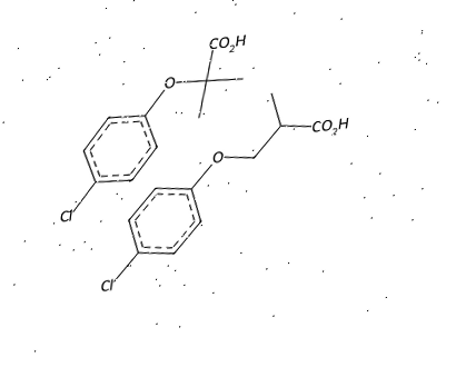 CC(C)(Oc1ccc(Cl)cc1)C(=O)O.CC(COc1ccc(Cl)cc1)C(=O)O